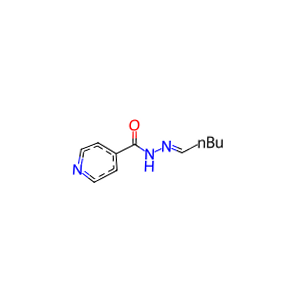 CCCC/C=N/NC(=O)c1ccncc1